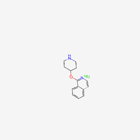 Cl.c1ccc2c(OC3CCNCC3)nccc2c1